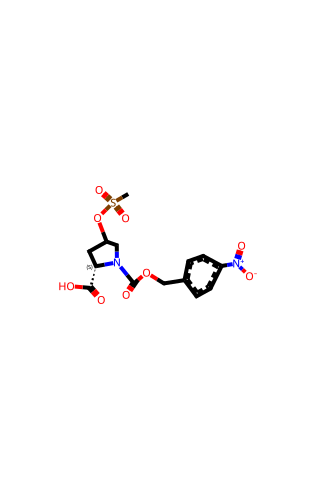 CS(=O)(=O)OC1C[C@@H](C(=O)O)N(C(=O)OCc2ccc([N+](=O)[O-])cc2)C1